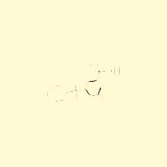 CCC(C)(c1cc(F)cc(C(=O)O)c1)C1CCOCC1